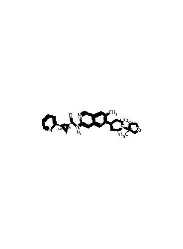 Cc1cc2cnc(NC(=O)[C@@H]3C[C@H]3c3ccccn3)cc2cc1C1CCN([C@@]2(C)COC[C@H]2O)CC1